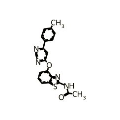 CC(=O)Nc1nc2c(Oc3cc(-c4ccc(C)cc4)ncn3)cccc2s1